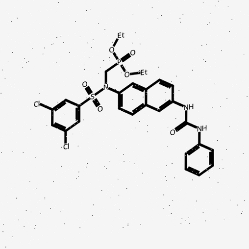 CCOP(=O)(CN(c1ccc2cc(NC(=O)Nc3ccccc3)ccc2c1)S(=O)(=O)c1cc(Cl)cc(Cl)c1)OCC